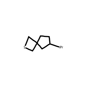 CC(C)C1CCC2(CSC2)C1